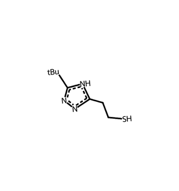 CC(C)(C)c1nnc(CCS)[nH]1